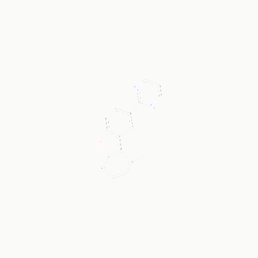 Cc1cccc2oc3ccc(-c4ncccn4)cc3c12